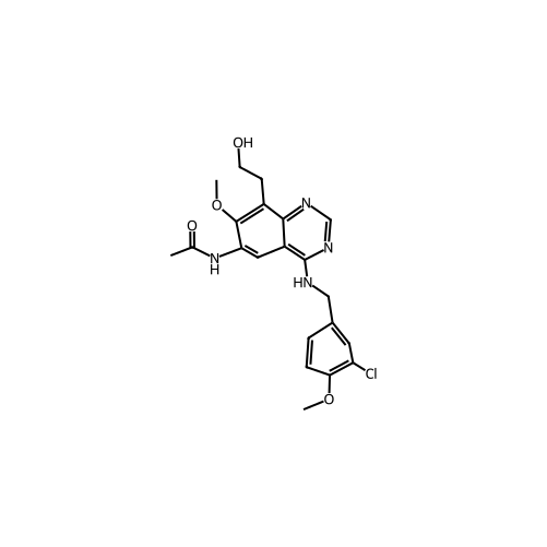 COc1ccc(CNc2ncnc3c(CCO)c(OC)c(NC(C)=O)cc23)cc1Cl